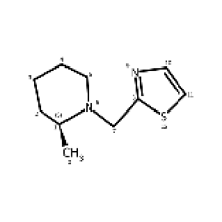 C[C@H]1CCCCN1Cc1nccs1